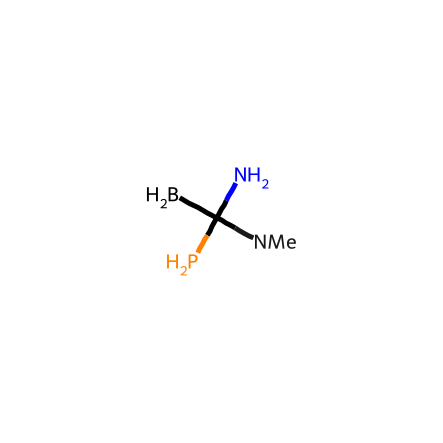 BC(N)(P)NC